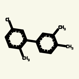 Cc1ccc(-c2cc(Cl)ccc2C)cc1C